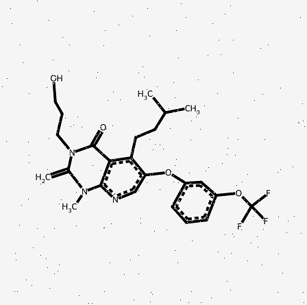 C=C1N(CCCO)C(=O)c2c(ncc(Oc3cccc(OC(F)(F)F)c3)c2CCC(C)C)N1C